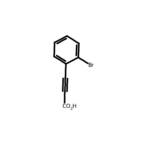 O=C(O)C#Cc1ccccc1Br